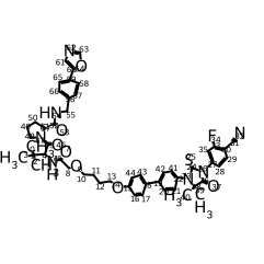 CC(C)(C)C(NC(=O)COCCCCOc1ccc(-c2ccc(N3C(=S)N(c4ccc(C#N)c(F)c4)C(=O)C3(C)C)cc2)cc1)C(=O)N1CCC[C@H]1C(=O)NCc1ccc(-c2cnco2)cc1